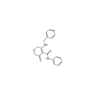 O=C1COCC(NCc2ccncc2)=C1C(=S)Nc1ccccc1